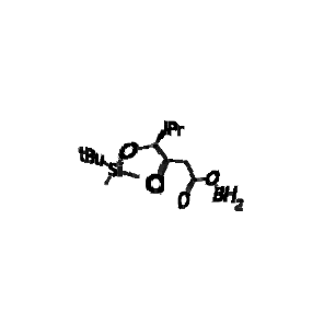 BOC(=O)CC(=O)[C@@H](O[Si](C)(C)C(C)(C)C)C(C)C